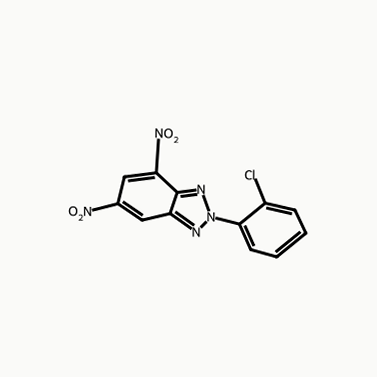 O=[N+]([O-])c1cc([N+](=O)[O-])c2nn(-c3ccccc3Cl)nc2c1